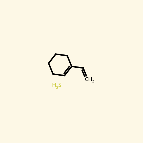 C=CC1=CCCCC1.S